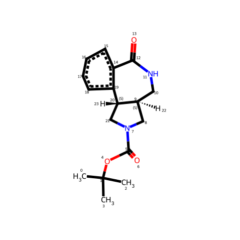 CC(C)(C)OC(=O)N1C[C@@H]2CNC(=O)c3ccccc3[C@H]2C1